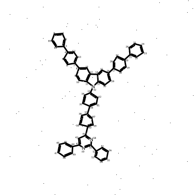 c1ccc(-c2ccc(-c3ccc4c(c3)c3cc(-c5ccc(-c6ccccc6)cc5)ccc3n4-c3ccc(-c4ccc(-c5cc(-c6ccccc6)nc(-c6ccccc6)n5)cc4)cc3)cc2)cc1